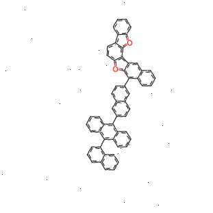 c1ccc2c(-c3c4ccccc4c(-c4ccc5cc(-c6c7ccccc7cc7c6oc6ccc8c9ccccc9oc8c67)ccc5c4)c4ccccc34)cccc2c1